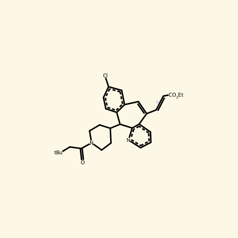 CCOC(=O)/C=C/C1=Cc2cc(Cl)ccc2C(C2CCN(C(=O)CC(C)(C)C)CC2)c2ncccc21